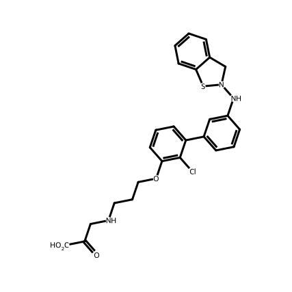 O=C(O)C(=O)CNCCCOc1cccc(-c2cccc(NN3Cc4ccccc4S3)c2)c1Cl